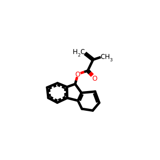 C=C(C)C(=O)OC1C2=C(CCC=C2)c2ccccc21